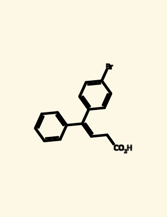 O=C(O)CC=C(c1ccccc1)c1ccc(Br)cc1